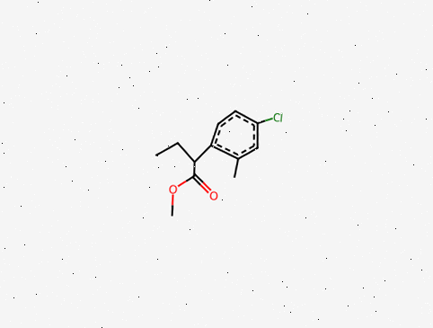 CCC(C(=O)OC)c1ccc(Cl)cc1C